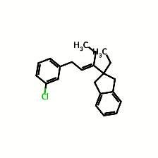 CCC(=CCc1cccc(Cl)c1)C1(CC)Cc2ccccc2C1